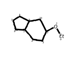 CCOC1CCC2CCCC2C1